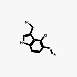 CCCOc1ccc2[nH]cc(CC#N)c2c1Cl